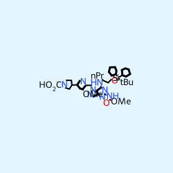 CCC[C@@H](CCO[Si](c1ccccc1)(c1ccccc1)C(C)(C)C)Nc1nc(NC(=O)OC)nc2cnn(Cc3ncc(C4CCN(C(=O)O)CC4)cc3OC)c12